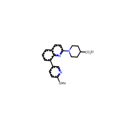 CCOC(=O)C1CCN(c2ccc3cccc(-c4ccc(OC)nc4)c3n2)CC1